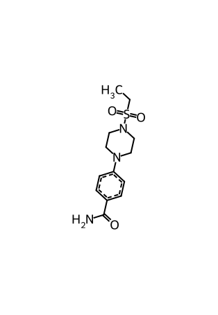 CCS(=O)(=O)N1CCN(c2ccc(C(N)=O)cc2)CC1